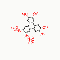 O.O.O.O.Oc1cc2c3cc(O)c(O)cc3c3cc(O)c(O)cc3c2cc1O